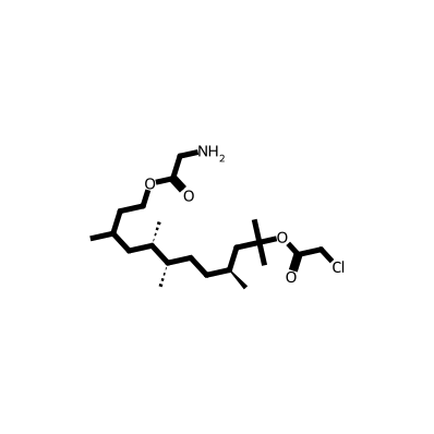 CC(CCOC(=O)CN)C[C@H](C)[C@@H](C)CC[C@H](C)CC(C)(C)OC(=O)CCl